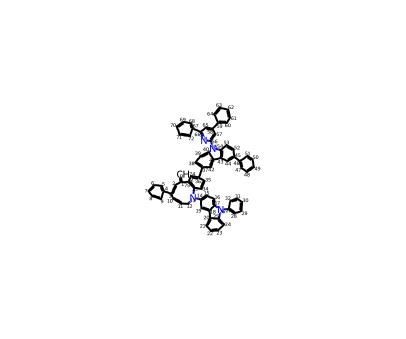 C=C1/C=C(c2ccccc2)\C=C/CN(c2ccc3c(c2)c2ccccc2n3-c2ccccc2)c2ccc(-c3ccc4c(c3)c3cc(-c5ccccc5)ccc3n4-c3cc(-c4ccccc4)cc(-c4ccccc4)n3)cc21